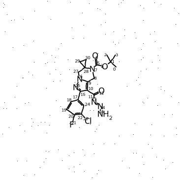 CC(C)(C)OC(=O)N1Cc2c(C(=O)N=NN)c(-c3ccc(F)c(Cl)c3)nn2CC12CC2